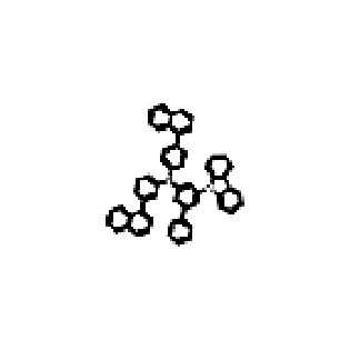 c1ccc(-c2cc(N(c3ccc(-c4cccc5ccccc45)cc3)c3cccc(-c4cccc5ccccc45)c3)cc(-n3c4ccccc4c4ccccc43)c2)cc1